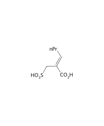 CCCC=C(CS(=O)(=O)O)C(=O)O